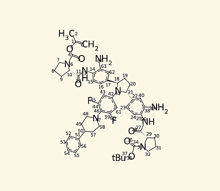 C=C(C)OC(=O)N1CCC[C@H]1C(=O)Nc1ccc([C@H]2CC[C@H](c3ccc(NC(=O)[C@@H]4CCCN4C(=O)OC(C)(C)C)c(N)c3)N2c2cc(F)c(N3CCC(c4ccccc4)CC3)c(F)c2)cc1N